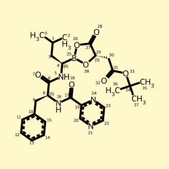 CC(C)C[C@H](NC(=O)[C@H](Cc1ccccc1)NC(=O)c1cnccn1)B1OC(=O)[C@H](CC(=O)OC(C)(C)C)O1